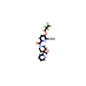 COc1nc(C(=O)N2CC[C@@]3(c4ccccn4)COC3C2)ccc1OCC(F)(F)C(F)F